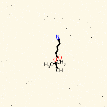 C#CC(C)(C)OC(=O)CCCCC#N